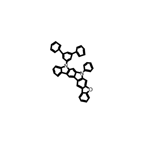 c1ccc(-c2cc(-c3ccccc3)cc(-n3c4ccccc4c4cc5c6cc7c(cc6n(-c6ccccc6)c5cc43)oc3ccccc37)c2)cc1